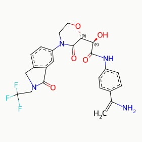 C=C(N)c1ccc(NC(=O)[C@H](O)[C@H]2OCCN(c3ccc4c(c3)C(=O)N(CC(F)(F)F)C4)C2=O)cc1